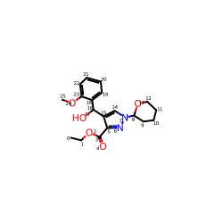 CCOC(=O)c1nn(C2CCCCO2)cc1C(O)c1ccccc1OC